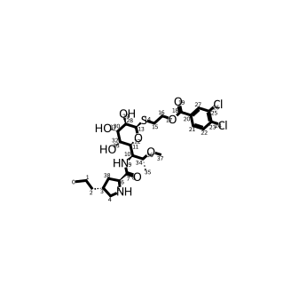 CCC[C@H]1CN[C@H](C(=O)N[C@@H]([C@H]2O[C@H](SCCOC(=O)c3ccc(Cl)c(Cl)c3)[C@H](O)[C@@H](O)[C@H]2O)[C@@H](C)OC)C1